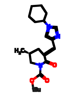 C[C@@H]1C/C(=C\c2cn(C3CCCCC3)cn2)C(=O)N(C(=O)OC(C)(C)C)C1